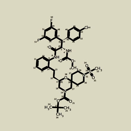 COC(=O)N[C@H](C(=O)Nc1ccccc1CC[C@@H]1CN(C(=O)OC(C)(C)C)CC2(CCN(S(C)(=O)=O)CC2)O1)[C@@H](c1ccc(Cl)cc1)c1cc(F)cc(F)c1